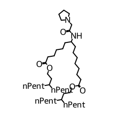 CCCCCC(CCCCC)CCOC(=O)CCCCCCCC(CCCCCC(=O)OCCC(CCCCC)CCCCC)NC(=O)CN1CCCC1